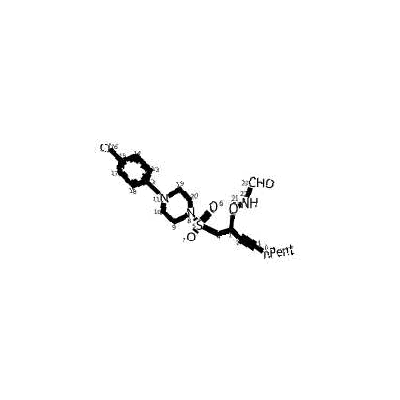 CCCCCC#CC(CS(=O)(=O)N1CCN(c2ccc(Cl)cc2)CC1)ONC=O